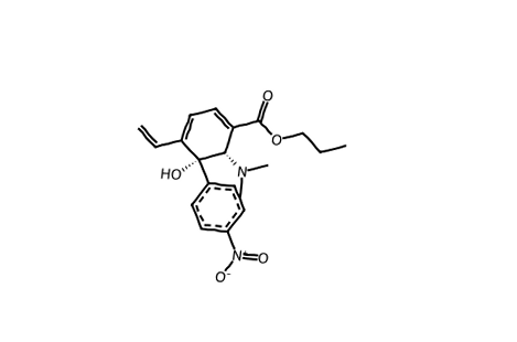 C=CC1=CC=C(C(=O)OCCC)[C@H](N(C)C)[C@@]1(O)c1ccc([N+](=O)[O-])cc1